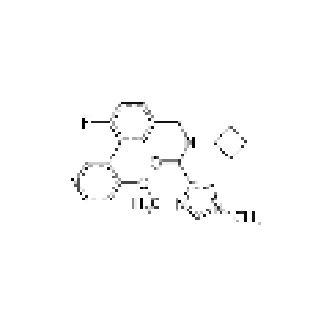 COc1ccncc1-c1cc(CN(C(=O)c2cn(C)cn2)C2CCC2)ccc1F